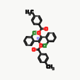 Cc1ccc(C(=O)O/C(=C(/OC(=O)c2ccc(C)cc2)c2ccccc2Cl)c2ccccc2Cl)cc1